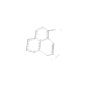 CCC.Oc1ccc2cccc3c2c1C=CC3